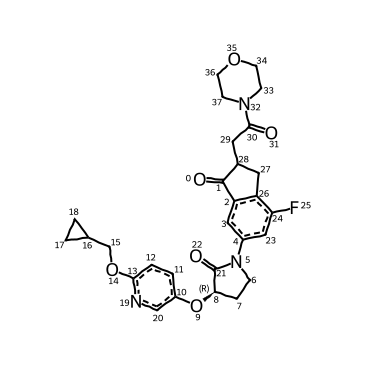 O=C1c2cc(N3CC[C@@H](Oc4ccc(OCC5CC5)nc4)C3=O)cc(F)c2CC1CC(=O)N1CCOCC1